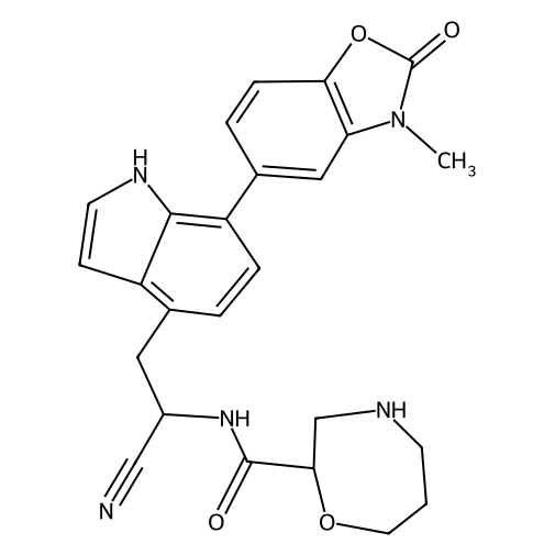 Cn1c(=O)oc2ccc(-c3ccc(CC(C#N)NC(=O)C4CNCCCO4)c4cc[nH]c34)cc21